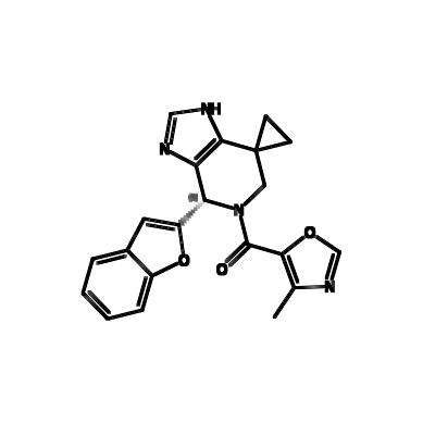 Cc1ncoc1C(=O)N1CC2(CC2)c2[nH]cnc2[C@H]1c1cc2ccccc2o1